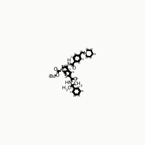 CCC(C)OC(=O)n1nc(NC(=O)c2ccc(CN3CCCCC3)cc2)c2cc(C(=O)NC(C)(C)c3ccccc3)sc21